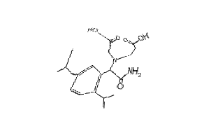 CC(C)c1ccc(C(C)C)c(C(C(N)=O)N(CC(=O)O)CC(=O)O)c1